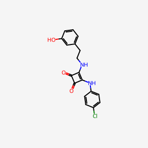 O=c1c(NCCc2cccc(O)c2)c(Nc2ccc(Cl)cc2)c1=O